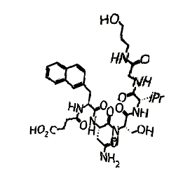 CC(C)[C@H](NC(=O)[C@H](CO)NC(=O)[C@H](CC(N)=O)NC(=O)[C@H](Cc1ccc2ccccc2c1)NC(=O)CCC(=O)O)C(=O)NCC(=O)NCCCO